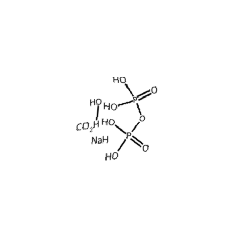 O=C(O)O.O=P(O)(O)OP(=O)(O)O.[NaH]